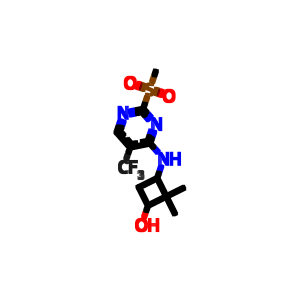 CC1(C)C(O)CC1Nc1nc(S(C)(=O)=O)ncc1C(F)(F)F